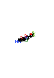 Cl.O=c1cc(-c2ccc(C(F)(F)F)cc2)ccn1-c1ccc2c3c(oc2c1)CCNC3